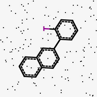 Ic1ccccc1-c1[c]c2ccccc2cc1